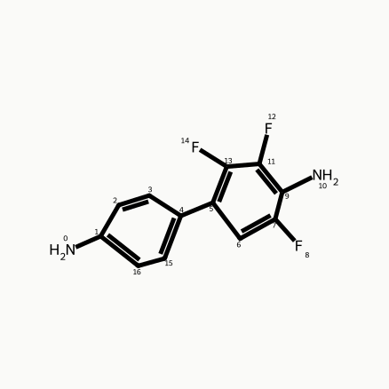 Nc1ccc(-c2cc(F)c(N)c(F)c2F)cc1